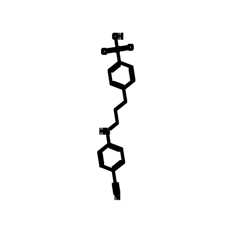 N#Cc1ccc(NCCCc2ccc(S(=O)(=O)O)cc2)cc1